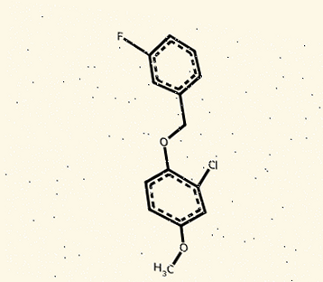 COc1ccc(OCc2cccc(F)c2)c(Cl)c1